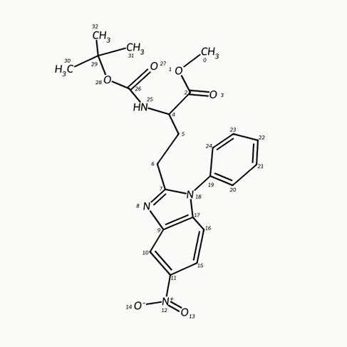 COC(=O)C(CCc1nc2cc([N+](=O)[O-])ccc2n1-c1ccccc1)NC(=O)OC(C)(C)C